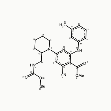 COC(=O)c1c(C#N)nc(N2CCCCC2CNC(=O)OC(C)(C)C)nc1Nc1cccc(C)c1